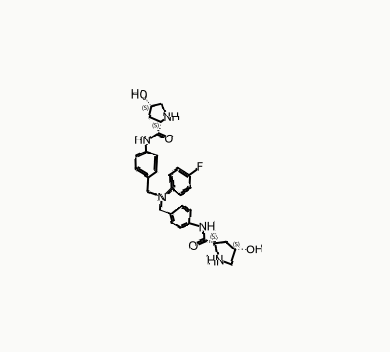 O=C(Nc1ccc(CN(Cc2ccc(NC(=O)[C@@H]3C[C@H](O)CN3)cc2)c2ccc(F)cc2)cc1)[C@@H]1C[C@H](O)CN1